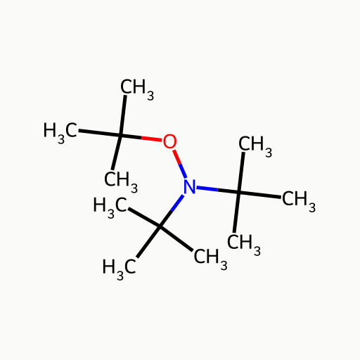 CC(C)(C)ON(C(C)(C)C)C(C)(C)C